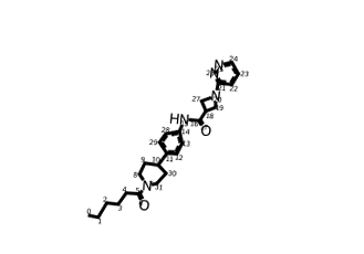 CCCCCC(=O)N1CCC(c2ccc(NC(=O)C3CN(c4cccnn4)C3)cc2)CC1